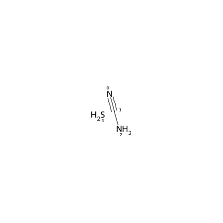 N#CN.S